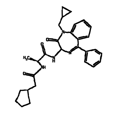 C[C@H](NC(=O)CC1CCCC1)C(=O)NC1N=C(c2ccccc2)c2ccccc2N(CC2CC2)C1=O